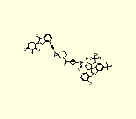 CC(C)(C)C[C@@H]1N[C@@H](C(=O)NC23CC(C(=O)N4CCC[C@@]5(C[C@H]5C#Cc5cccc6c5CN(C5CCC(=O)NC5=O)C6=O)C4)(C2)C3)[C@H](c2cccc(Cl)c2F)[C@]12CNc1cc(C(F)(F)F)ncc12